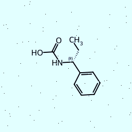 CC[C@@H](NC(=O)O)c1ccccc1